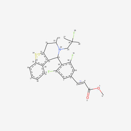 COC(=O)/C=C/c1cc(F)c(C2c3c(sc4ccccc34)CC(C)N2CC(C)(C)F)c(F)c1